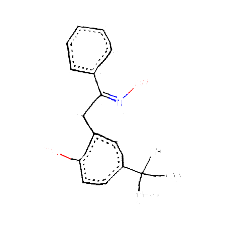 CCCCCCC(C)(C)c1ccc(O)c(CC(=NO)c2ccccc2)c1